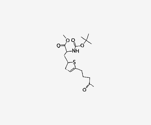 COC(=O)C(CC1CC=C(CCCC(C)=O)S1)NC(=O)OC(C)(C)C